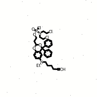 C#CCCCCN(CC)c1ccc2c(c1)C(c1ccccc1)(c1ccccc1)OC(CCOP(=O)(Cl)N(CCCl)CCCl)O2